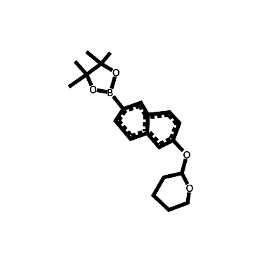 CC1(C)OB(c2ccc3cc(OC4CCCCO4)ccc3c2)OC1(C)C